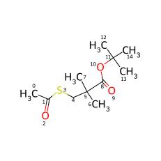 CC(=O)SCC(C)(C)C(=O)OC(C)(C)C